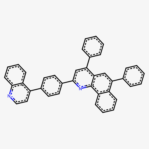 c1ccc(-c2cc3c(-c4ccccc4)cc(-c4ccc(-c5ccnc6ccccc56)cc4)nc3c3ccccc23)cc1